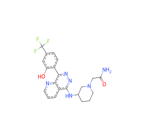 NC(=O)CN1CCCC(Nc2nnc(-c3ccc(C(F)(F)F)cc3O)c3ncccc23)C1